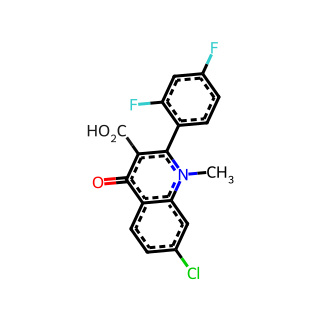 Cn1c(-c2ccc(F)cc2F)c(C(=O)O)c(=O)c2ccc(Cl)cc21